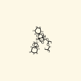 CC(C)COC(C)OC1O[C@H](C2COC3(CCCCC3)O2)[C@@H]2OC3(CCCCC3)O[C@H]12